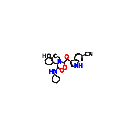 N#Cc1ccc2c(C(=O)C(=O)N(CC(=O)O)C(C(=O)NC3CCCCC3)C3CCCCC3)c[nH]c2c1